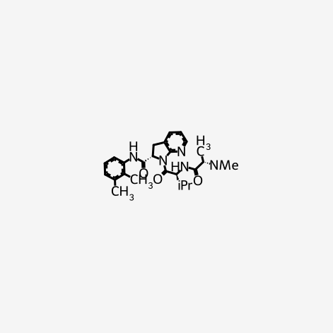 CN[C@@H](C)C(=O)N[C@H](C(=O)N1c2ncccc2C[C@H]1C(=O)Nc1cccc(C)c1C)C(C)C